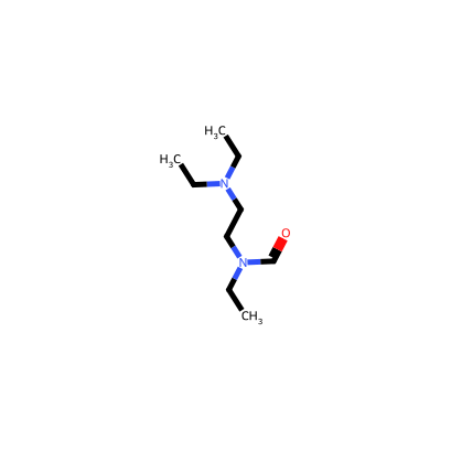 CCN(C=O)CCN(CC)CC